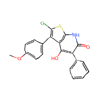 COc1ccc(-c2c(Cl)sc3[nH]c(=O)c(-c4ccccc4)c(O)c23)cc1